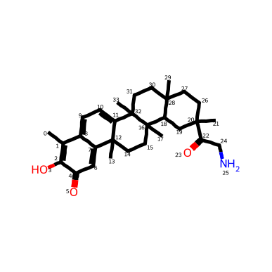 CC1=C(O)C(=O)C=C2C1=CC=C1C2(C)CCC2(C)C3CC(C)(C(=O)CN)CCC3(C)CCC12C